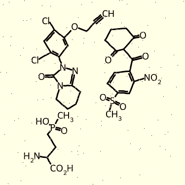 C#CCOc1cc(-n2nc3n(c2=O)CCCC3)c(Cl)cc1Cl.CP(=O)(O)CCC(N)C(=O)O.CS(=O)(=O)c1ccc(C(=O)C2C(=O)CCCC2=O)c([N+](=O)[O-])c1